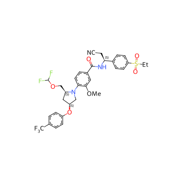 CCS(=O)(=O)c1ccc([C@H](CC#N)NC(=O)c2ccc(N3C[C@@H](Oc4ccc(C(F)(F)F)cc4)C[C@H]3COC(F)F)c(OC)c2)cc1